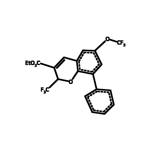 CCOC(=O)C1=Cc2cc(OC(F)(F)F)cc(-c3ccccc3)c2OC1C(F)(F)F